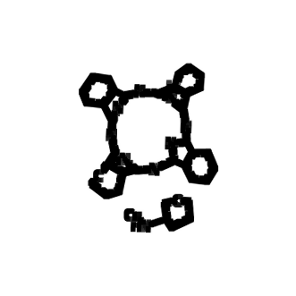 [Cu][NH]c1ccccc1.c1ccc2c(c1)-c1nc-2nc2[nH]c(nc3nc(nc4[nH]c(n1)c1ccccc41)-c1ccccc1-3)c1ccccc21